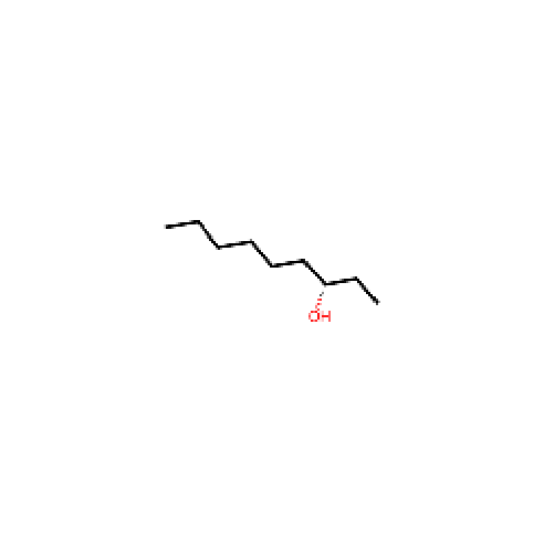 CCCCCC[C@@H](O)CC